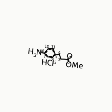 COC(=O)CCc1ccc(N)cc1.Cl